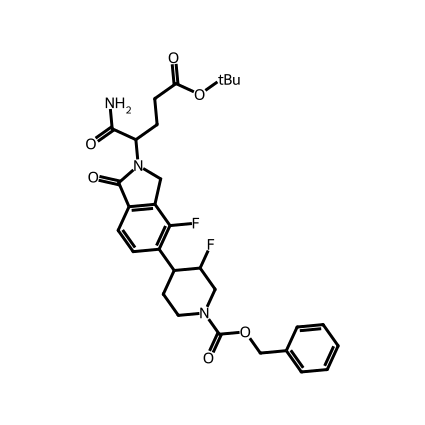 CC(C)(C)OC(=O)CCC(C(N)=O)N1Cc2c(ccc(C3CCN(C(=O)OCc4ccccc4)CC3F)c2F)C1=O